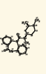 C[C@@H]1C[C@H](N(C)C(=O)N2c3ccccc3C(=O)Nc3cccnc32)CCN1C